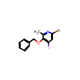 Cc1nc(Br)cc(I)c1OCc1ccccc1